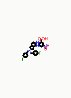 O=C(O)c1cc([N+](=O)[O-])ccc1Nc1ccc2c(c1)CC(N(Cc1ccc(F)cc1)Cc1ccc(F)cc1)C2